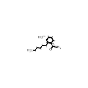 CCCCCCc1ccccc1C(N)=O.Cl